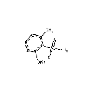 COc1cccc(C)c1S(N)(=O)=O